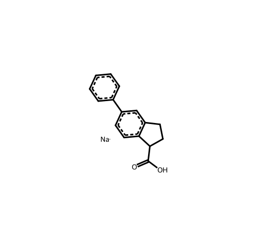 O=C(O)C1CCc2cc(-c3ccccc3)ccc21.[Na]